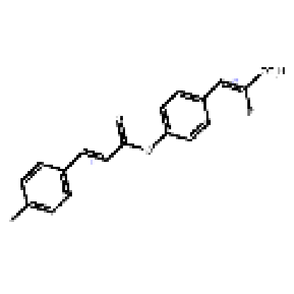 O=C(/C=C/c1ccc(I)cc1)Oc1ccc(/C=C(\F)C(=O)O)cc1